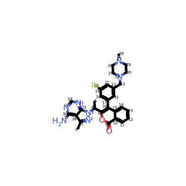 Cc1nn(C(C)c2oc(=O)c3ccccc3c2-c2cc(F)cc(CN3CCN(C)CC3)c2)c2ncnc(N)c12